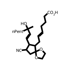 CCCCCC(C)(O)C=CC1C(C#N)CC2(OCCO2)C1CC=CCCCC(=O)O